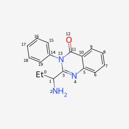 CCC(N)c1nc2ccccc2c(=O)n1-c1ccccc1